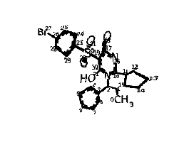 CC[C@@H](c1ccccc1)n1c(C2CCCC2)nc(=O)c(S(=O)(=O)c2ccc(Br)cc2)c1O